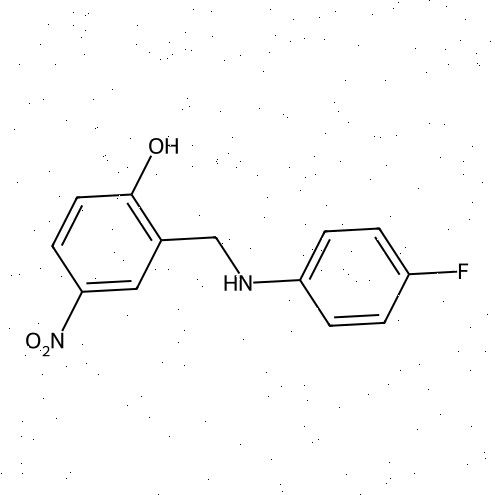 O=[N+]([O-])c1ccc(O)c(CNc2ccc(F)cc2)c1